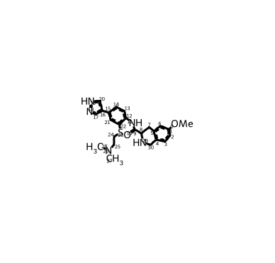 COc1ccc2c(c1)CC(C(=O)Nc1ccc(-c3cn[nH]c3)cc1SCCN(C)C)NC2